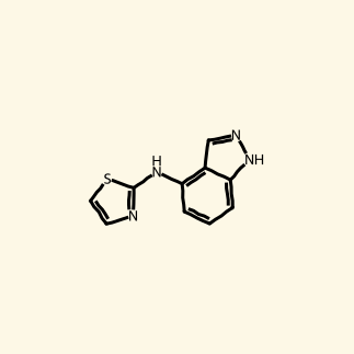 c1cc(Nc2nccs2)c2cn[nH]c2c1